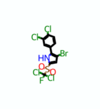 O=S(=O)(c1cc(Br)c(-c2ccc(Cl)c(Cl)c2)[nH]1)C(F)(Cl)Cl